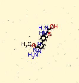 CCOc1nc(N)nc2ccc(-c3ccc(NC(=O)C(N)CO)cc3)nc12